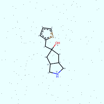 OC1(Cc2cccs2)CC2CNCC2C1